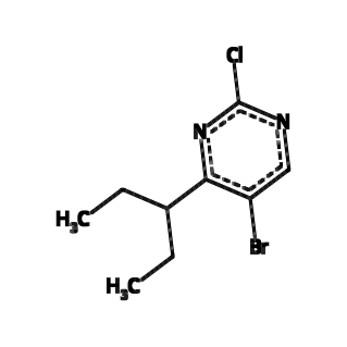 CCC(CC)c1nc(Cl)ncc1Br